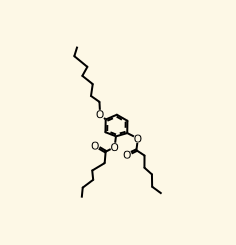 CCCCCCCOc1ccc(OC(=O)CCCCC)c(OC(=O)CCCCC)c1